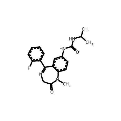 CC(C)NC(=O)Nc1ccc2c(c1)C(c1ccccc1F)=NCC(=O)N2C